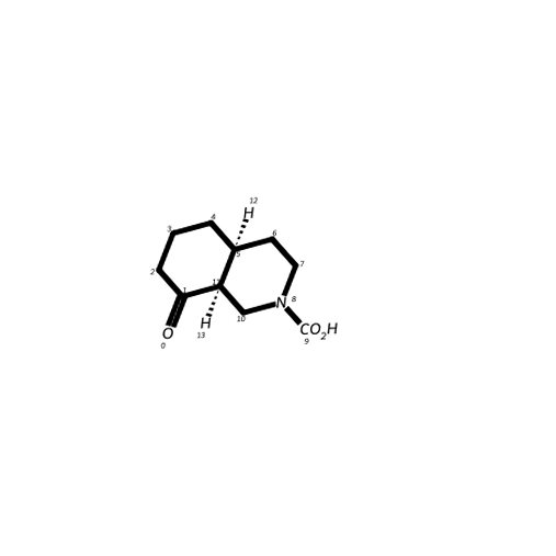 O=C1CCC[C@H]2CCN(C(=O)O)C[C@@H]12